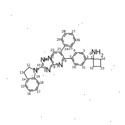 NC1(c2ccc(-c3nc4nc(N5CCc6ccccc65)nn4cc3-c3ccccc3)cc2)CCC1